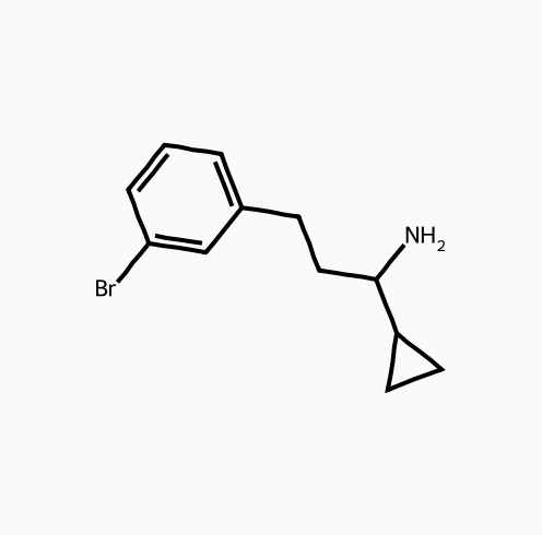 NC(CCc1cccc(Br)c1)C1CC1